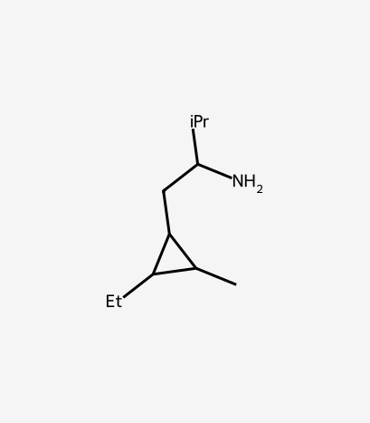 CCC1C(C)C1CC(N)C(C)C